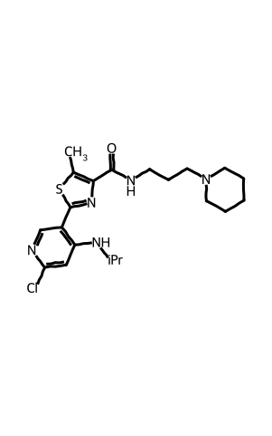 Cc1sc(-c2cnc(Cl)cc2NC(C)C)nc1C(=O)NCCCN1CCCCC1